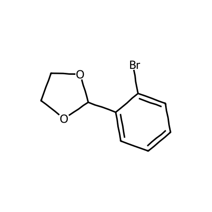 Brc1ccccc1C1OCCO1